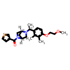 COCCOc1ccc([C@H](C)N2C[C@@H]3C[C@H]2CN3C(=O)c2ccsc2)c(C)c1C